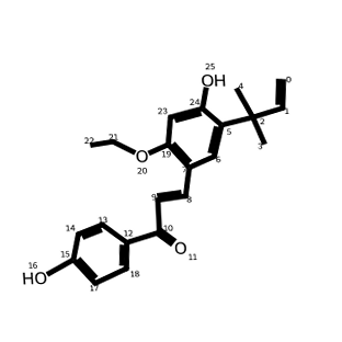 C=CC(C)(C)c1cc(C=CC(=O)c2ccc(O)cc2)c(OCC)cc1O